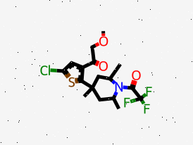 COCC(=O)c1cc(Cl)sc1C1(C)CC(C)N(C(=O)C(F)(F)F)C(C)C1